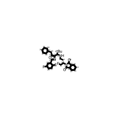 CC(C)(C)C(NCC[C@@H](CF)N1C(=O)c2ccccc2C1=O)c1nc(-c2cc(F)ccc2F)oc1Cc1ccccc1